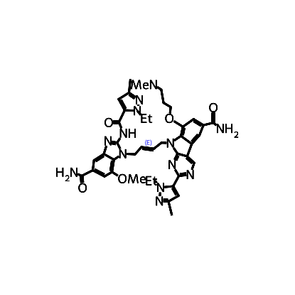 CCn1nc(C)cc1C(=O)Nc1nc2cc(C(N)=O)cc(OC)c2n1C/C=C/Cn1c2nc(-c3cc(C)nn3CC)ncc2c2cc(C(N)=O)cc(OCCCNC)c21